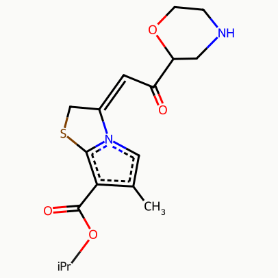 Cc1cn2c(c1C(=O)OC(C)C)SCC2=CC(=O)C1CNCCO1